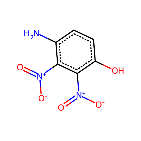 Nc1ccc(O)c([N+](=O)[O-])c1[N+](=O)[O-]